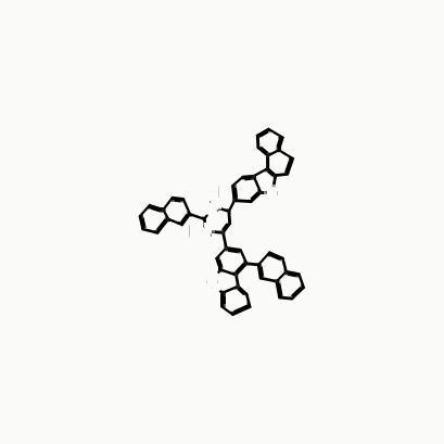 C1=C(c2cc(-c3ccc4ccccc4c3)c3c(c2)oc2ccccc23)NC(c2ccc3ccccc3c2)NC1c1ccc2c(c1)oc1ccc3ccccc3c12